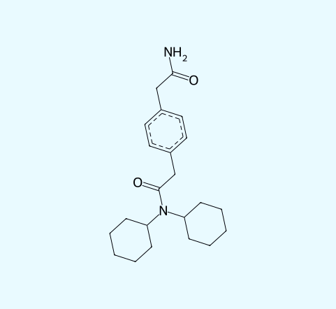 NC(=O)Cc1ccc(CC(=O)N(C2CCCCC2)C2CCCCC2)cc1